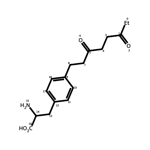 CCC(=O)CCC(=O)CCc1ccc(CC(N)C(=O)O)cc1